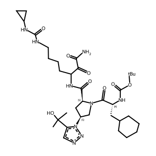 CC(C)(C)OC(=O)N[C@H](CC1CCCCC1)C(=O)N1C[C@@H](n2nncc2C(C)(C)O)C[C@H]1C(=O)NC(CCCCNC(=O)NC1CC1)C(=O)C(N)=O